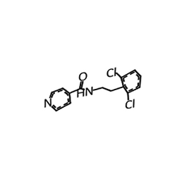 O=C(NCCc1c(Cl)cccc1Cl)c1ccncc1